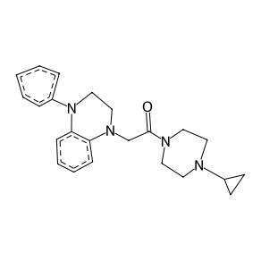 O=C(CN1CCN(c2ccccc2)c2ccccc21)N1CCN(C2CC2)CC1